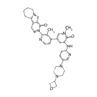 Cc1c(-c2cc(Nc3ccc(N4CCN(C5COC5)CC4)cn3)c(=O)n(C)c2)ccnc1-n1ncc2c3n(cc2c1=O)CCCC3